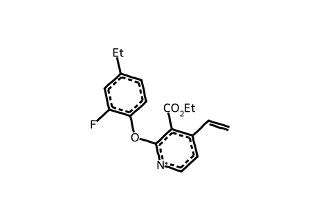 C=Cc1ccnc(Oc2ccc(CC)cc2F)c1C(=O)OCC